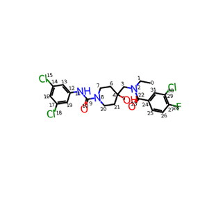 CCN(CC1(O)CCN(C(=O)Nc2cc(Cl)cc(Cl)c2)CC1)C(=O)c1ccc(F)c(Cl)c1